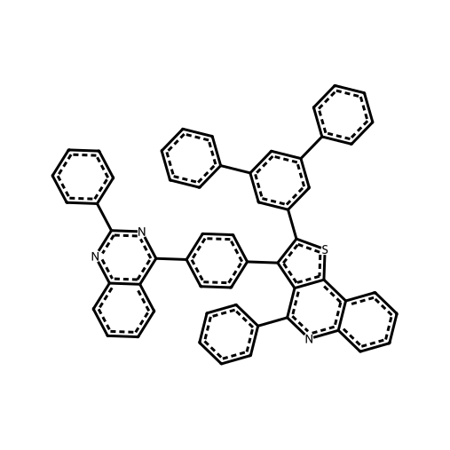 c1ccc(-c2cc(-c3ccccc3)cc(-c3sc4c(c(-c5ccccc5)nc5ccccc54)c3-c3ccc(-c4nc(-c5ccccc5)nc5ccccc45)cc3)c2)cc1